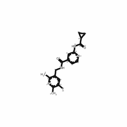 Cc1nc(C)c(CNC(=O)c2ccnc(NC(=O)C3CC3)c2)cc1F